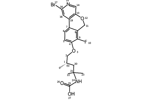 C[C@H](COc1ccc2c(c1F)COc1cnc(Br)cc1-2)CC(C)(C)NC(=O)O